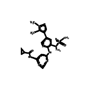 Cc1c(-c2cnc(Nc3cc(NC(=O)C4CC4)ncn3)c(N(C)S(C)(=O)=O)c2)cnn1C